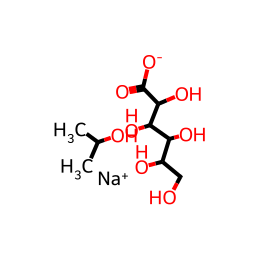 CC(C)O.O=C([O-])C(O)C(O)C(O)C(O)CO.[Na+]